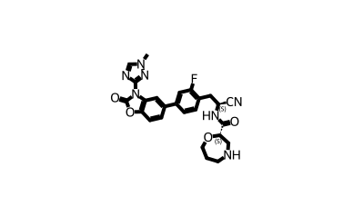 Cn1cnc(-n2c(=O)oc3ccc(-c4ccc(C[C@@H](C#N)NC(=O)[C@@H]5CNCCCO5)c(F)c4)cc32)n1